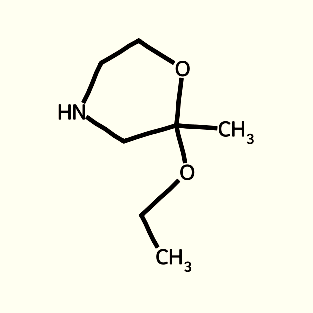 CCOC1(C)CNCCO1